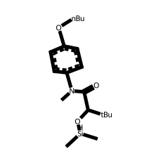 CCCCOc1ccc(N(C)C(=O)C(O[SiH](C)C)C(C)(C)C)cc1